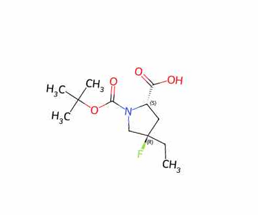 CC[C@@]1(F)C[C@@H](C(=O)O)N(C(=O)OC(C)(C)C)C1